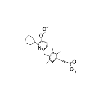 CCOC(=O)C#Cc1cc(C)c(Cc2ccc(OCOC)c(C3CCCCC3)n2)c(C)c1C